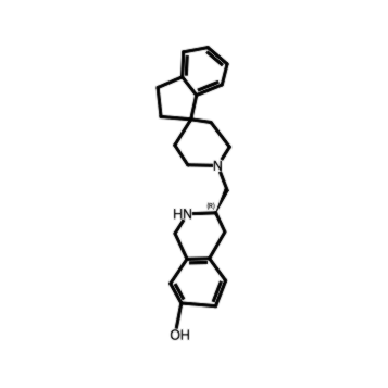 Oc1ccc2c(c1)CN[C@@H](CN1CCC3(CCc4ccccc43)CC1)C2